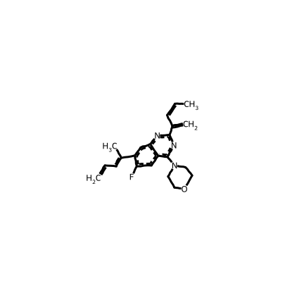 C=C/C=C(\C)c1cc2nc(C(=C)/C=C\C)nc(N3CCOCC3)c2cc1F